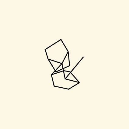 CC1C2CCC(CC2)C12C1CCC2CC1